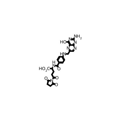 Nc1nc(O)c2nc(CNc3ccc(C(=O)NC(CCC(=O)N4C(=O)CCC4=O)C(=O)O)cc3)cnc2n1